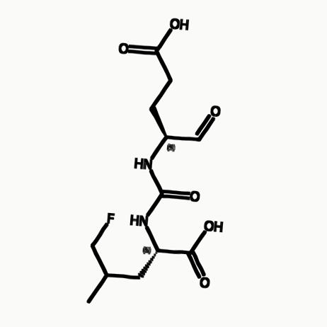 CC(CF)C[C@H](NC(=O)N[C@H](C=O)CCC(=O)O)C(=O)O